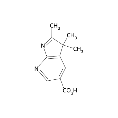 CC1=Nc2ncc(C(=O)O)cc2C1(C)C